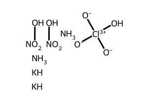 N.N.O=[N+]([O-])O.O=[N+]([O-])O.[KH].[KH].[O-][Cl+3]([O-])([O-])O